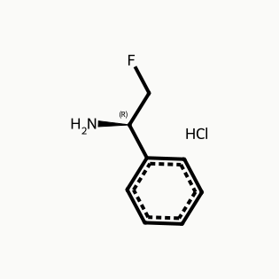 Cl.N[C@@H](CF)c1ccccc1